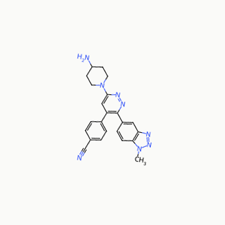 Cn1nnc2cc(-c3nnc(N4CCC(N)CC4)cc3-c3ccc(C#N)cc3)ccc21